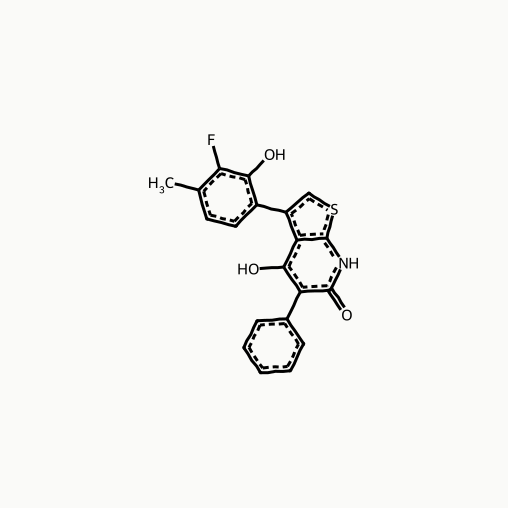 Cc1ccc(-c2csc3[nH]c(=O)c(-c4ccccc4)c(O)c23)c(O)c1F